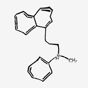 C[SiH](CCc1cccc2ccccc12)c1ccccc1